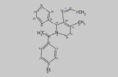 C=C(c1ccc(CC)cc1)N1CCC(C)=C(/C=C\C)C1c1ccccc1